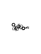 COC(=O)[C@@H](NC(=O)[C@@H](Cc1ccc(C#N)cc1)C(=O)N(C)C)C1CCCCC1